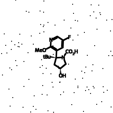 COc1ncc(F)cc1[C@]1(C(C)(C)C)C[C@@H](O)CN1C(=O)O